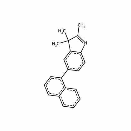 CC1=Nc2ccc(-c3cccc4ccccc34)cc2C1(C)C